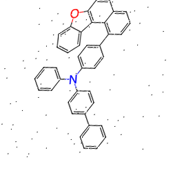 c1ccc(-c2ccc(N(c3ccccc3)c3ccc(-c4cccc5ccc6oc7ccccc7c6c45)cc3)cc2)cc1